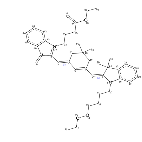 C=C1C(/C=C2C=C(/C=C3/N(CCCCOOCC)c4ccccc4C3(C)C)CC(C)(C)C/2)=[N+](CCCC(=O)OCC)c2ccccc21